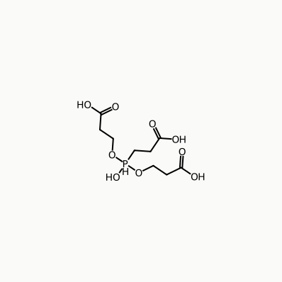 O=C(O)CCO[PH](O)(CCC(=O)O)OCCC(=O)O